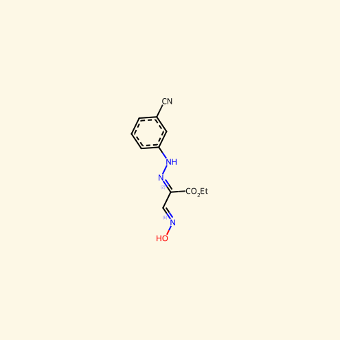 CCOC(=O)C(/C=N/O)=N\Nc1cccc(C#N)c1